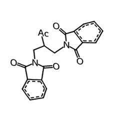 CC(=O)C(CN1C(=O)c2ccccc2C1=O)CN1C(=O)c2ccccc2C1=O